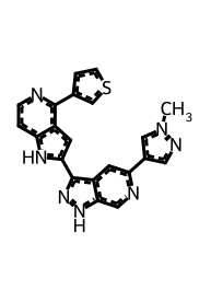 Cn1cc(-c2cc3c(-c4cc5c(-c6ccsc6)nccc5[nH]4)n[nH]c3cn2)cn1